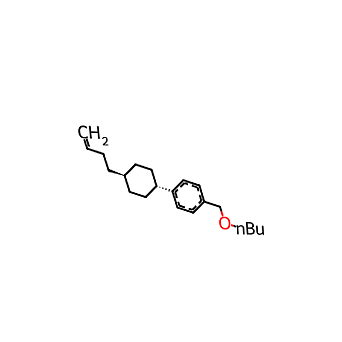 C=CCC[C@H]1CC[C@H](c2ccc(COCCCC)cc2)CC1